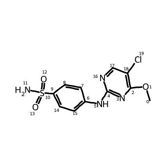 COc1nc(Nc2ccc(S(N)(=O)=O)cc2)ncc1Cl